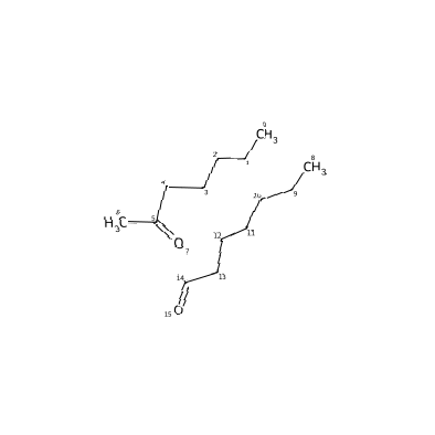 CCCCCC(C)=O.CCCCCCC=O